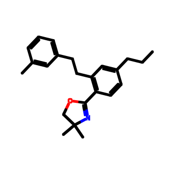 CCCc1ccc(C2=NC(C)(C)CO2)c(CCc2cccc(C)c2)c1